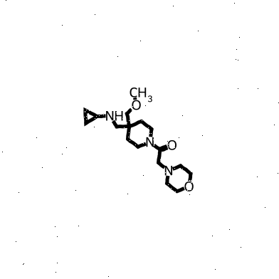 COCC1(CNC2CC2)CCN(C(=O)CN2CCOCC2)CC1